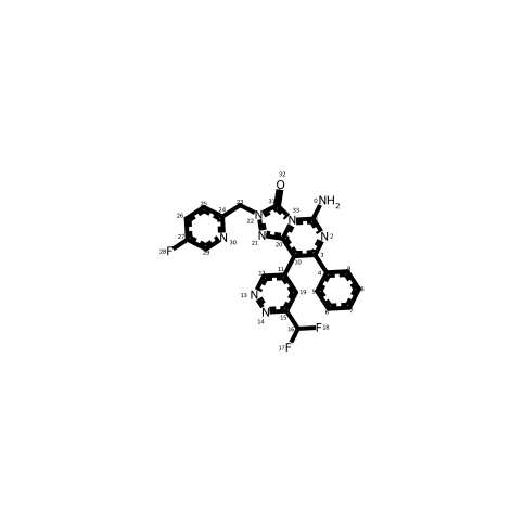 Nc1nc(-c2ccccc2)c(-c2cnnc(C(F)F)c2)c2nn(Cc3ccc(F)cn3)c(=O)n12